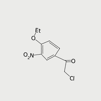 CCOc1ccc(C(=O)CCl)cc1[N+](=O)[O-]